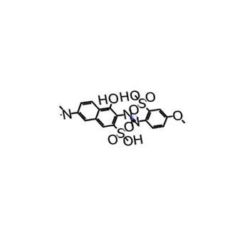 C[N]c1ccc2c(O)c(/N=N/c3ccc(OC)cc3S(=O)(=O)O)c(S(=O)(=O)O)cc2c1